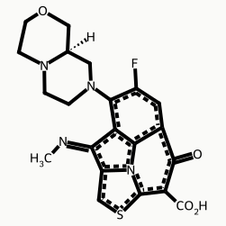 CN=c1c2c(N3CCN4CCOC[C@H]4C3)c(F)cc3c(=O)c(C(=O)O)c4scc1n4c32